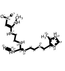 CN/C(=C\[N+](=O)[O-])NCCN/C(=N\CCSCc1nc[nH]c1C)NC#N